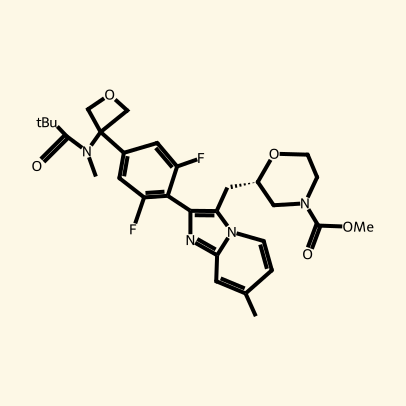 COC(=O)N1CCO[C@@H](Cc2c(-c3c(F)cc(C4(N(C)C(=O)C(C)(C)C)COC4)cc3F)nc3cc(C)ccn23)C1